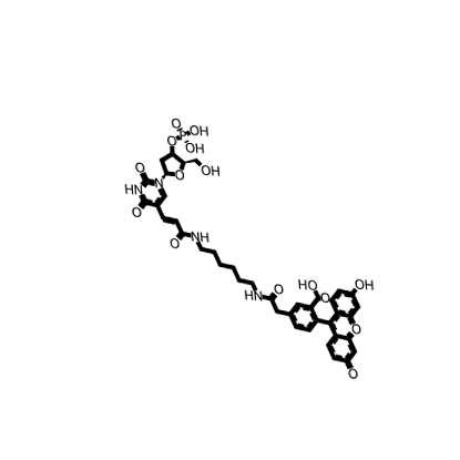 O=C(/C=C/c1cn([C@H]2CC(OP(=O)(O)O)[C@@H](CO)O2)c(=O)[nH]c1=O)NCCCCCCNC(=O)Cc1ccc(-c2c3ccc(=O)cc-3oc3cc(O)ccc23)c(C(=O)O)c1